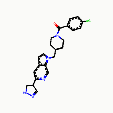 O=C(c1ccc(Cl)cc1)N1CCC(Cn2ccc3cc(C4C=NNC4)ncc32)CC1